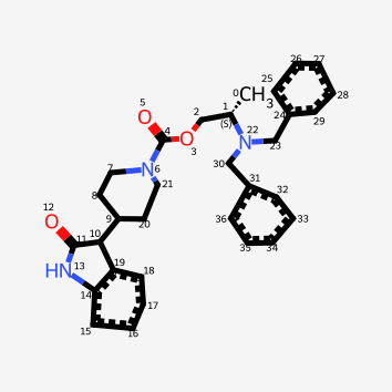 C[C@@H](COC(=O)N1CCC(C2C(=O)Nc3ccccc32)CC1)N(Cc1ccccc1)Cc1ccccc1